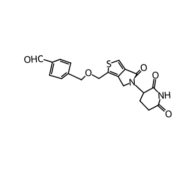 O=Cc1ccc(COCc2scc3c2CN(C2CCC(=O)NC2=O)C3=O)cc1